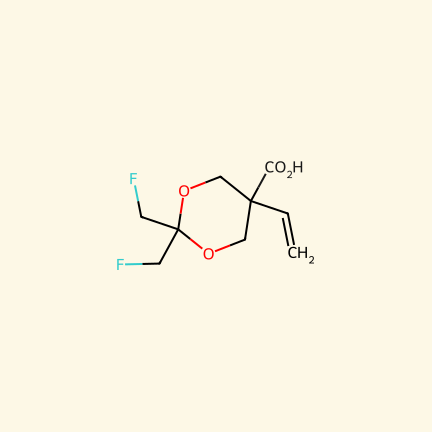 C=CC1(C(=O)O)COC(CF)(CF)OC1